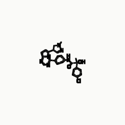 CN1CC(c2ccc3ncnc(-c4ccc(NC(=O)C(C)(O)c5ccc(Cl)cc5)cc4)n23)C=N1